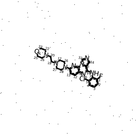 Fc1cccc(Cl)c1Nc1nc2ccc(N3CCN(CCN4CCOCC4)CC3)nc2n2cncc12